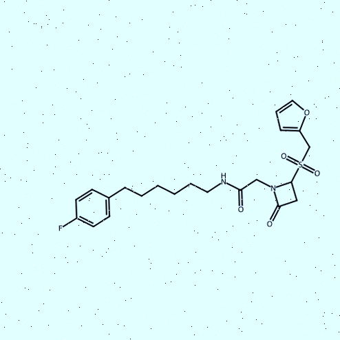 O=C(CN1C(=O)CC1S(=O)(=O)Cc1ccco1)NCCCCCCc1ccc(F)cc1